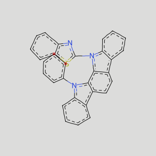 c1ccc(-n2c3ccccc3c3ccc4c5ccccc5n(-c5nc6ccccc6s5)c4c32)cc1